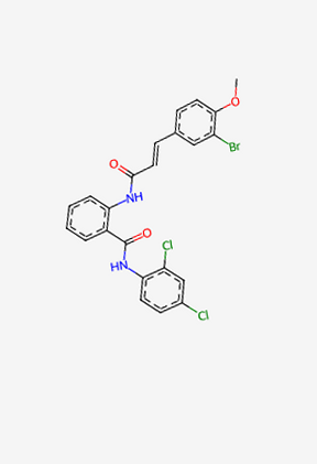 COc1ccc(C=CC(=O)Nc2ccccc2C(=O)Nc2ccc(Cl)cc2Cl)cc1Br